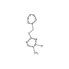 Cc1cnc(SCc2ccccc2)nc1Cl